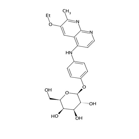 CCOc1cc2c(Nc3ccc(O[C@@H]4O[C@H](CO)[C@H](O)[C@H](O)[C@H]4O)cc3)ccnc2nc1C